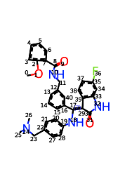 COc1ccccc1C(=O)NCc1cccc(/C(Nc2ccc(CN(C)C)cc2)=C2/C(=O)Nc3cc(F)ccc32)c1